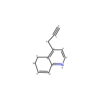 C#CCc1ccnc2c1CCC=C2